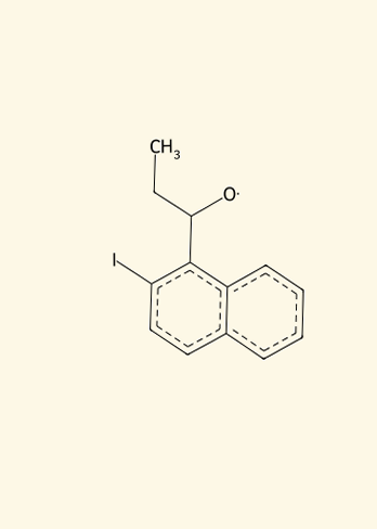 CCC([O])c1c(I)ccc2ccccc12